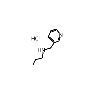 CCCNCc1cccnc1.Cl